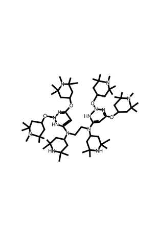 CN1C(C)(C)CC(OC2=NN(OC3CC(C)(C)N(C)C(C)(C)C3)NC(N(CCN(C3=CC(OC4CC(C)(C)N(C)C(C)(C)C4)=NN(OC4CC(C)(C)N(C)C(C)(C)C4)N3)C3CC(C)(C)NC(C)(C)C3)C3CC(C)(C)NC(C)(C)C3)=C2)CC1(C)C